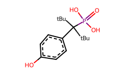 CC(C)(C)C(c1ccc(O)cc1)(C(C)(C)C)P(=O)(O)O